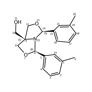 Cc1cccc([C@H]2OC[C@]3(CO)CO[C@@H](c4cccc(C)c4)N23)c1